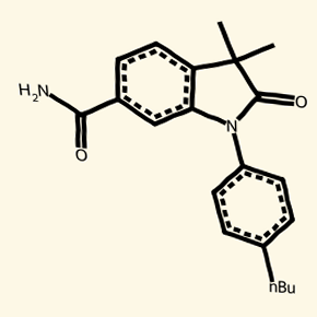 CCCCc1ccc(N2C(=O)C(C)(C)c3ccc(C(N)=O)cc32)cc1